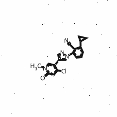 Cn1cc(-c2cnn(-c3cccc(C4CC4)c3C#N)c2)c(Cl)cc1=O